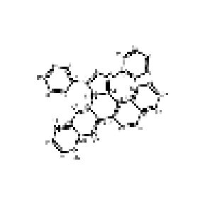 c1ccc(-c2cc(-c3ccccc3)n3c4nc5nccnc5nc4c4ccc5ccccc5c4c23)cc1